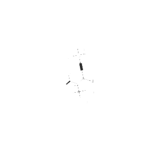 CC(C)(C)[C@@H](C(=O)O)C(N)C#C[Si](C)(C)C